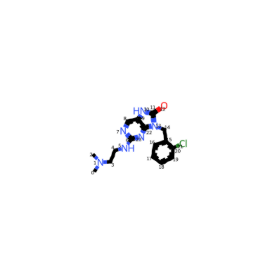 CN(C)CCNc1ncc2[nH]c(=O)n(Cc3ccccc3Cl)c2n1